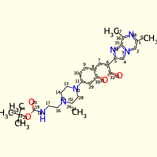 Cc1cn2cc(-c3cc4ccc(N5CCN(CCNC(=O)OC(C)(C)C)[C@@H](C)C5)cc4oc3=O)nc2c(C)n1